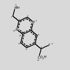 CC(C)(C)Cc1cnc2cc(C(F)C(=O)O)ccc2n1